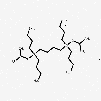 CCCC[Si](CCCC)(CCCC[Si](CCCC)(CCCC)OC(C)C)OC(C)C